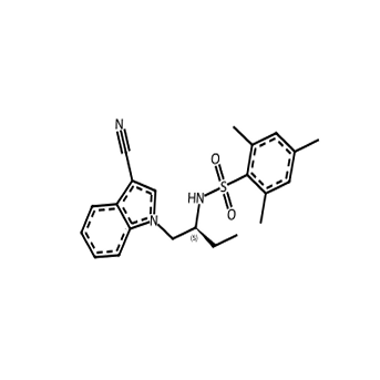 CC[C@@H](Cn1cc(C#N)c2ccccc21)NS(=O)(=O)c1c(C)cc(C)cc1C